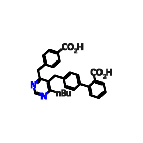 CCCCc1ncnc(Cc2ccc(C(=O)O)cc2)c1Cc1ccc(-c2ccccc2C(=O)O)cc1